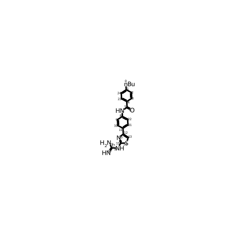 CCCCc1ccc(C(=O)Nc2ccc(-c3csc(NC(=N)N)n3)cc2)cc1